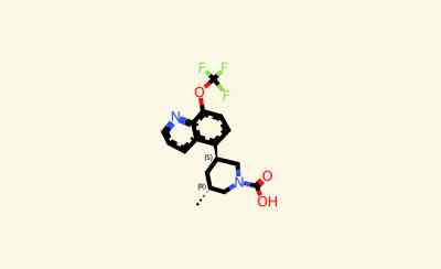 C[C@@H]1C[C@@H](c2ccc(OC(F)(F)F)c3ncccc23)CN(C(=O)O)C1